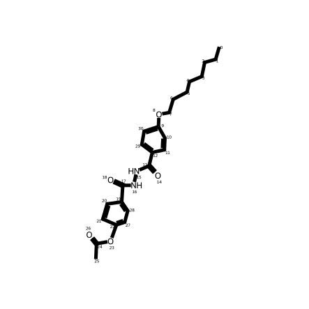 CCCCCCCCOc1ccc(C(=O)NNC(=O)c2ccc(OC(C)=O)cc2)cc1